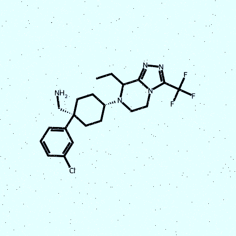 CCC1c2nnc(C(F)(F)F)n2CCN1[C@H]1CC[C@](CN)(c2cccc(Cl)c2)CC1